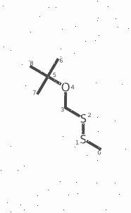 CSSCOC(C)(C)C